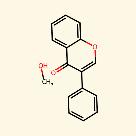 CO.O=c1c(-c2ccccc2)coc2ccccc12